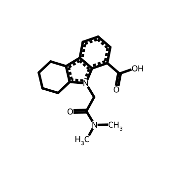 CN(C)C(=O)Cn1c2c(c3cccc(C(=O)O)c31)CCCC2